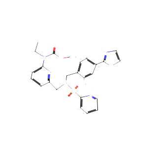 CC(C)(C)OC(=O)N(CC(=O)O)c1cccc(CN(Cc2ccc(-c3nccs3)cc2)S(=O)(=O)c2ccccn2)n1